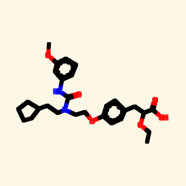 CCOC(Cc1ccc(OCCN(CCC2CCCC2)C(=O)Nc2cccc(OC)c2)cc1)C(=O)O